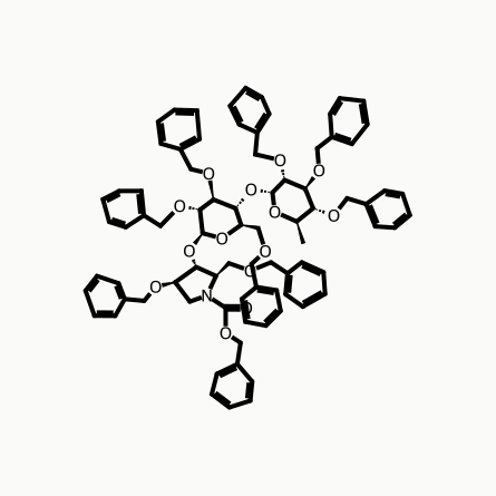 C[C@H]1O[C@H](O[C@H]2[C@H](OCc3ccccc3)[C@@H](OCc3ccccc3)[C@H](O[C@@H]3[C@@H](COCc4ccccc4)N(C(=O)OCc4ccccc4)C[C@H]3OCc3ccccc3)O[C@@H]2COCc2ccccc2)[C@H](OCc2ccccc2)[C@@H](OCc2ccccc2)[C@@H]1OCc1ccccc1